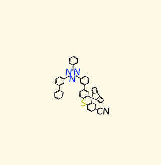 N#Cc1ccc2c(c1)C1(c3cc(-c4cccc(-c5nc(-c6ccccc6)nc(-c6cccc(-c7ccccc7)c6)n5)c4)ccc3S2)c2ccccc2-c2ccccc21